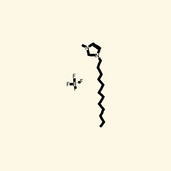 CCCCCCCCCCCCN1C=CN(C)C1.F[B-](F)(F)F